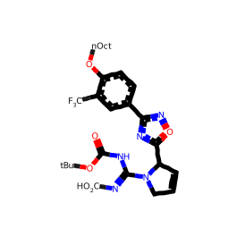 CCCCCCCCOc1ccc(-c2noc(C3C=CCN3C(=NC(=O)O)NC(=O)OC(C)(C)C)n2)cc1C(F)(F)F